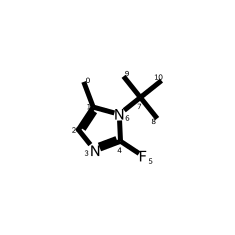 Cc1cnc(F)n1C(C)(C)C